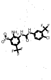 Nc1c(NC(=O)Nc2ccc(Cl)c(C(F)(F)F)c2)cc(C(F)(F)F)cc1[N+](=O)[O-]